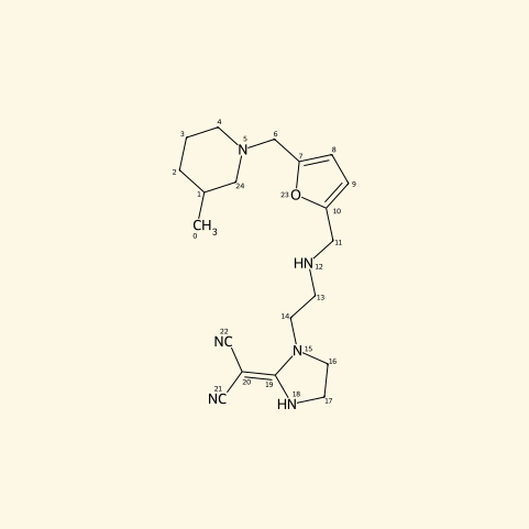 CC1CCCN(Cc2ccc(CNCCN3CCNC3=C(C#N)C#N)o2)C1